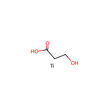 O=C(O)CCO.[Ti]